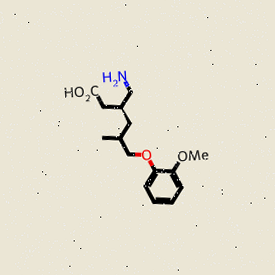 COc1ccccc1OCC(C)C[C@H](CN)CC(=O)O